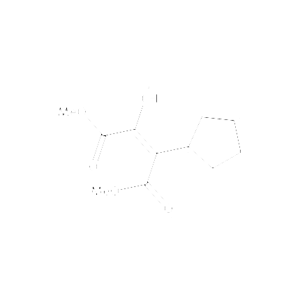 COC(=O)/C(C)=C(\C(=O)OC)C1CCCC1